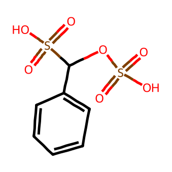 O=S(=O)(O)OC(c1ccccc1)S(=O)(=O)O